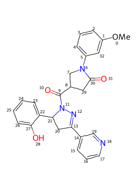 COc1cccc(N2CC(C(=O)N3N=C(c4cccnc4)CC3c3ccccc3O)CC2=O)c1